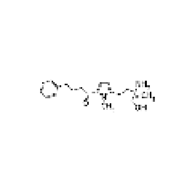 Cn1c(CC[C@@](C)(N)CO)ccc1C(=O)CCCc1ccccc1